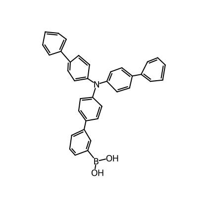 OB(O)c1cccc(-c2ccc(N(c3ccc(-c4ccccc4)cc3)c3ccc(-c4ccccc4)cc3)cc2)c1